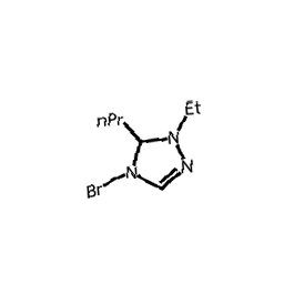 CCCC1N(Br)C=NN1CC